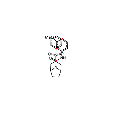 COc1cccc(NC(=O)N2C3CCC2CC(S(=O)(=O)c2ccccc2)C3)c1